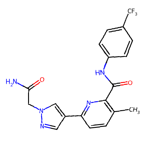 Cc1ccc(-c2cnn(CC(N)=O)c2)nc1C(=O)Nc1ccc(C(F)(F)F)cc1